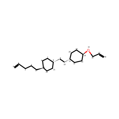 C=CCCC[C@H]1CC[C@H](CC[C@H]2CC[C@H](OCC=C)CC2)CC1